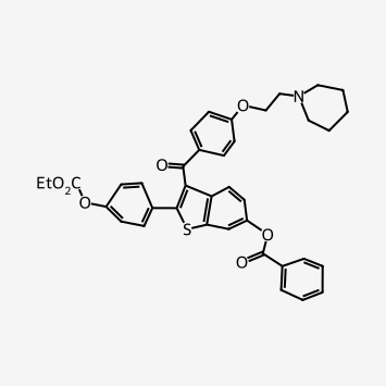 CCOC(=O)Oc1ccc(-c2sc3cc(OC(=O)c4ccccc4)ccc3c2C(=O)c2ccc(OCCN3CCCCC3)cc2)cc1